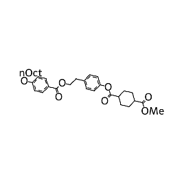 CCCCCCCCOc1ccc(C(=O)OCCc2ccc(OC(=O)C3CCC(C(=O)OC)CC3)cc2)cc1